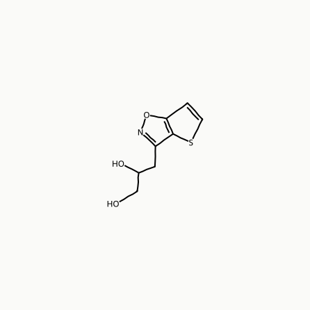 OCC(O)Cc1noc2ccsc12